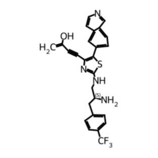 C=C(O)C#Cc1nc(NC[C@@H](N)Cc2ccc(C(F)(F)F)cc2)sc1-c1ccc2cnccc2c1